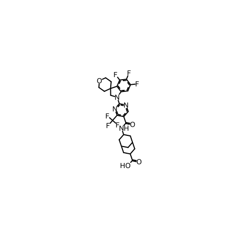 O=C(NC1CC2CC(C1)CC(C(=O)O)C2)c1cnc(N2CC3(CCOCC3)c3c2cc(F)c(F)c3F)nc1C(F)(F)F